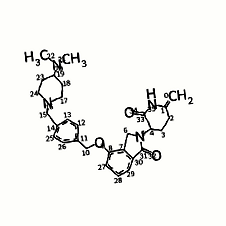 C=C1CCC(N2Cc3c(OCc4ccc(CN5CCC(N(C)C)CC5)cc4)cccc3C2=O)C(=O)N1